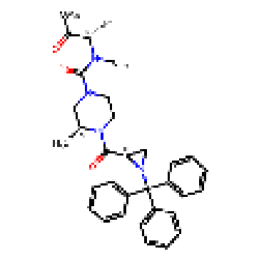 COC(=O)[C@H](C(C)C)N(C)C(=O)N1CCN(C(=O)[C@H]2CN2C(c2ccccc2)(c2ccccc2)c2ccccc2)[C@@H](C)C1